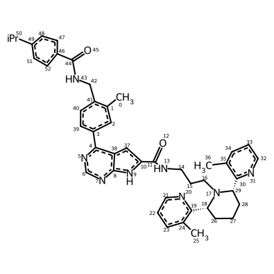 Cc1cc(-c2ncnc3[nH]c(C(=O)NCCCN4[C@@H](c5ncccc5C)CCC[C@H]4c4ncccc4C)cc23)ccc1CNC(=O)c1ccc(C(C)C)cc1